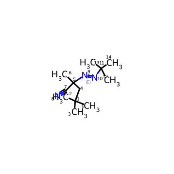 CC(C)(C)CC(C)(C#N)/N=N/C(C)(C)C